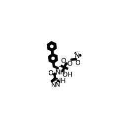 CN(C)C(=O)COC(=O)C(C)(CO)C[C@@H](Cc1ccc(-c2ccccc2)cc1)NC(=O)c1cnn[nH]1